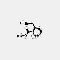 C#CCC(/C=C\O)N(N)C(=O)OC(C)(C)C